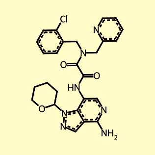 Nc1ncc(NC(=O)C(=O)N(Cc2ccccn2)Cc2ccccc2Cl)c2c1cnn2C1CCCCO1